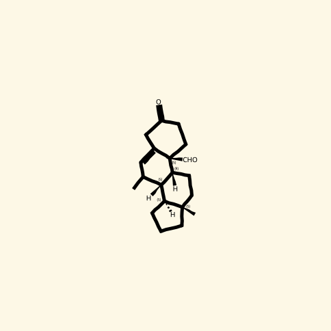 CC1C=C2CC(=O)CC[C@]2(C=O)[C@@H]2CC[C@]3(C)CCC[C@H]3[C@H]12